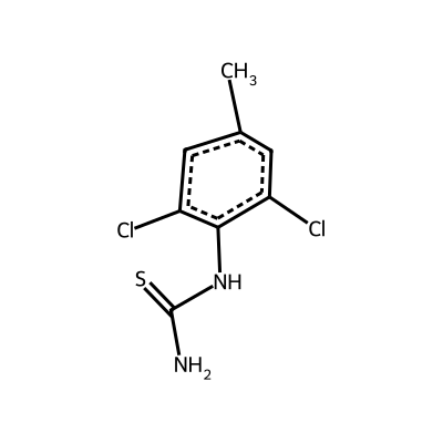 Cc1cc(Cl)c(NC(N)=S)c(Cl)c1